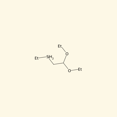 CCOC(C[SiH2]CC)OCC